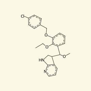 CCOc1c(OCc2ccc(Cl)cc2)cccc1C(OC)C1CNc2ncccc21